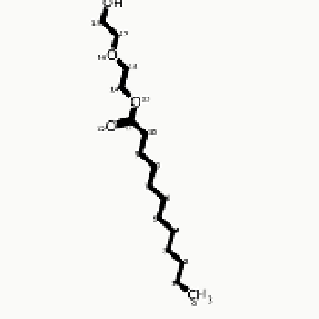 CCCCCCCCCCCC(=O)OCCOCCO